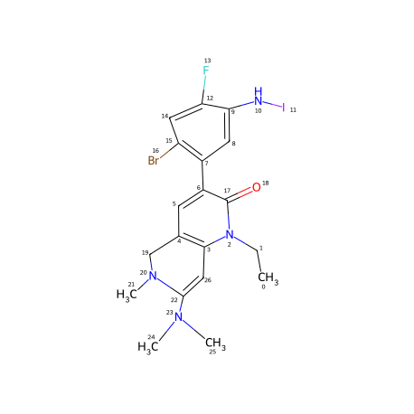 CCn1c2c(cc(-c3cc(NI)c(F)cc3Br)c1=O)CN(C)C(N(C)C)=C2